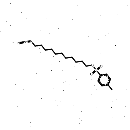 Cc1ccc(S(=O)(=O)OCCCCCCCCCCCN=[N+]=[N-])cc1